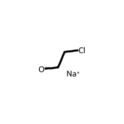 [Na+].[O-]CCCl